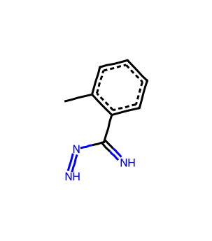 Cc1ccccc1C(=N)N=N